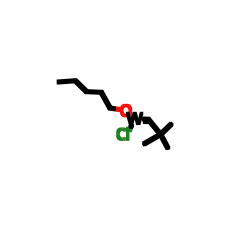 CCCCC[O][W]([Cl])=[CH]C(C)(C)C